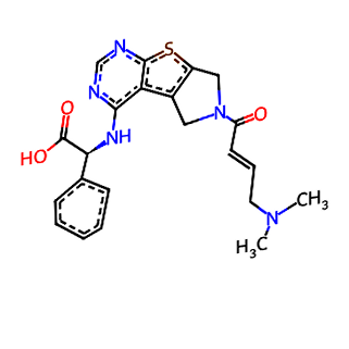 CN(C)C/C=C/C(=O)N1Cc2sc3ncnc(N[C@H](C(=O)O)c4ccccc4)c3c2C1